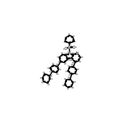 O=S(=O)(c1ccccc1)n1c2ccc(-c3ccc(-c4ccccc4)cc3)cc2c2c(-c3ccc(-c4ccccc4)cc3)ccnc21